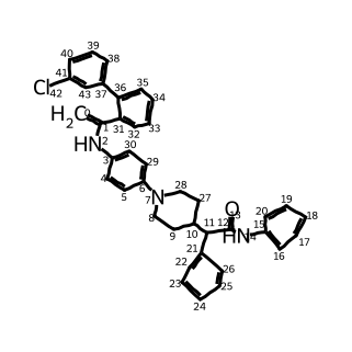 C=C(Nc1ccc(N2CCC(C(C(=O)Nc3ccccc3)c3ccccc3)CC2)cc1)c1ccccc1-c1cccc(Cl)c1